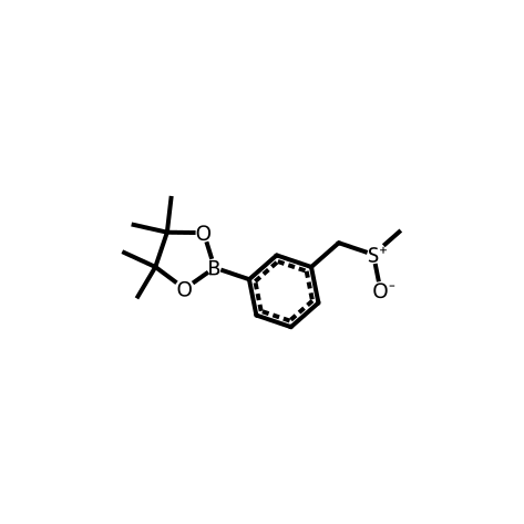 C[S+]([O-])Cc1cccc(B2OC(C)(C)C(C)(C)O2)c1